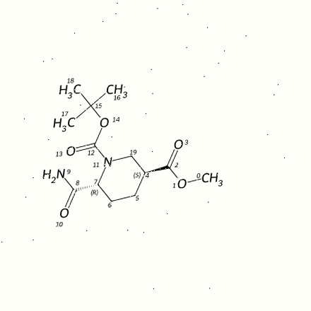 COC(=O)[C@H]1CC[C@H](C(N)=O)N(C(=O)OC(C)(C)C)C1